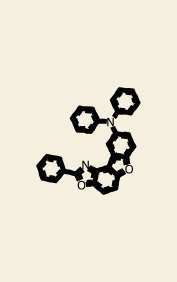 c1ccc(-c2nc3c(ccc4oc5ccc(N(c6ccccc6)c6ccccc6)cc5c43)o2)cc1